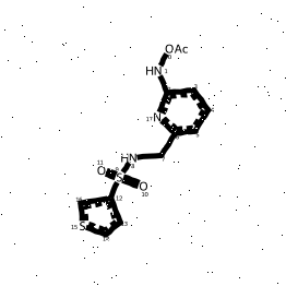 CC(=O)ONc1cccc(CNS(=O)(=O)c2ccsc2)n1